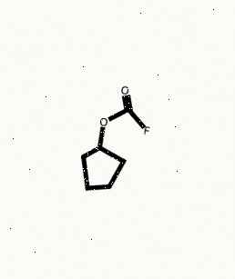 O=C(F)OC1CCCC1